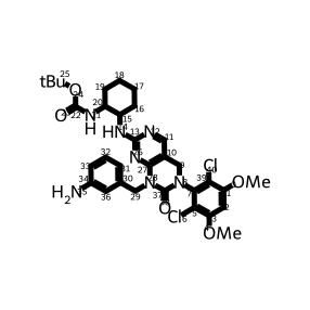 COc1cc(OC)c(Cl)c(N2Cc3cnc(NC4CCCCC4NC(=O)OC(C)(C)C)nc3N(Cc3cccc(N)c3)C2=O)c1Cl